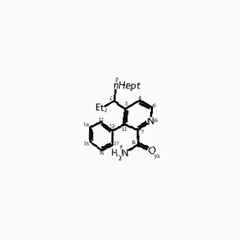 CCCCCCCC(CC)c1ccnc(C(N)=O)c1-c1ccccc1